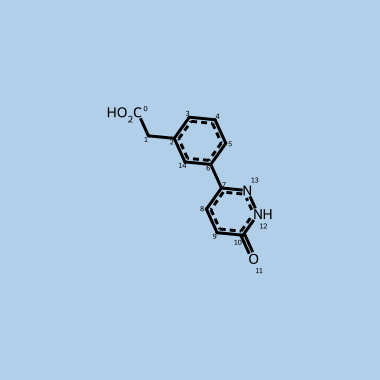 O=C(O)Cc1cccc(-c2ccc(=O)[nH]n2)c1